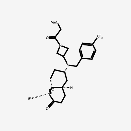 COCC(=O)N1CC(N(Cc2ccc(C(F)(F)F)cc2)[C@H]2CC[C@]34OC[C@H](C(C)C)N3C(=O)CC[C@@H]4C2)C1